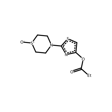 CCC(=O)Oc1csc(N2CC[S+]([O-])CC2)n1